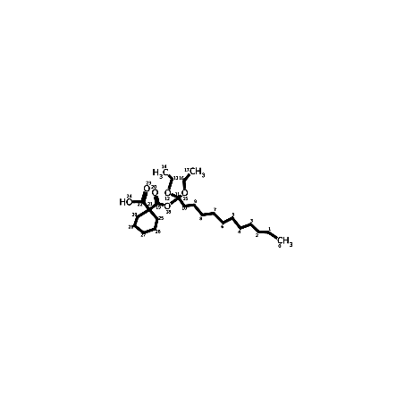 CCCCCCCCCCCC(OCC)(OCC)OC(=O)C1(C(=O)O)CCCCC1